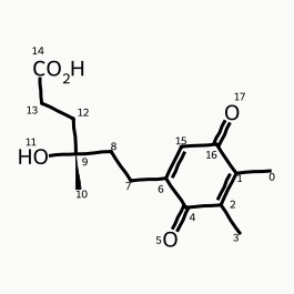 CC1=C(C)C(=O)C(CC[C@](C)(O)CCC(=O)O)=CC1=O